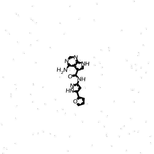 Nc1ncnc2[nH]cc(C(=O)Nc3cc(-c4ccco4)[nH]n3)c12